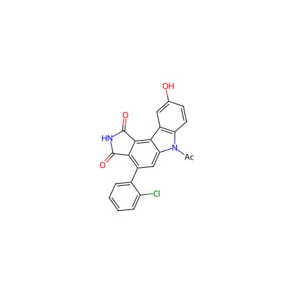 CC(=O)n1c2ccc(O)cc2c2c3c(c(-c4ccccc4Cl)cc21)C(=O)NC3=O